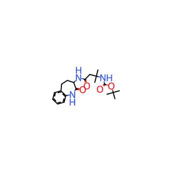 CC(C)(CC(=O)NC1CCc2ccccc2NC1=O)NC(=O)OC(C)(C)C